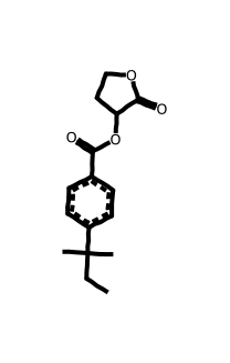 CCC(C)(C)c1ccc(C(=O)OC2CCOC2=O)cc1